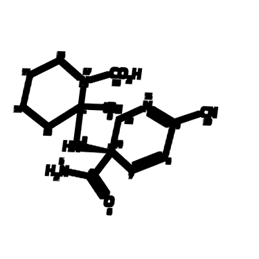 CC(C)(C)C1(N[C@]2(C(N)=O)C=CC(C#N)=NC2)CCCCN1C(=O)O